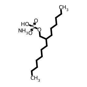 CCCCCCCC(CCCCCC)COS(=O)(=O)O.N